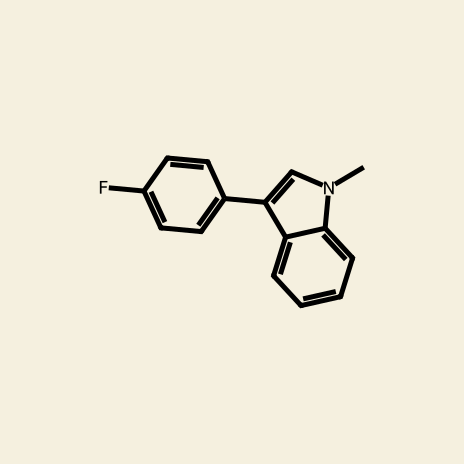 Cn1cc(-c2ccc(F)cc2)c2ccccc21